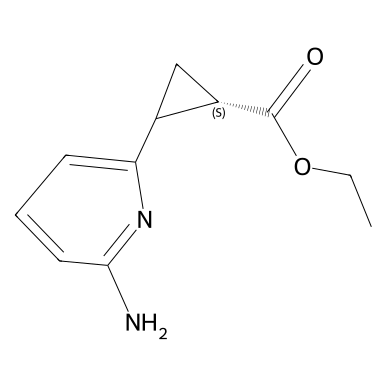 CCOC(=O)[C@H]1CC1c1cccc(N)n1